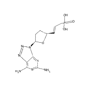 Nc1nc(N)c2nnn([C@H]3CC[C@@H](/C=C/P(=O)(O)O)O3)c2n1